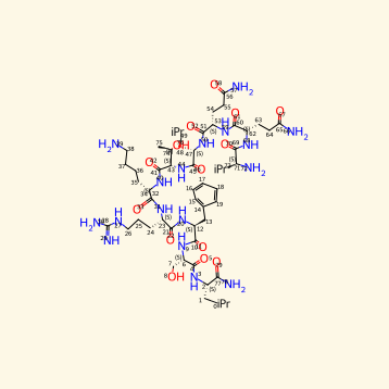 CC(C)C[C@H](NC(=O)[C@H](CO)NC(=O)[C@H](Cc1ccccc1)NC(=O)[C@H](CCCNC(=N)N)NC(=O)[C@H](CCCCN)NC(=O)[C@@H](NC(=O)[C@H](CC(C)C)NC(=O)[C@H](CCC(N)=O)NC(=O)[C@H](CCC(N)=O)NC(=O)[C@@H](N)C(C)C)[C@@H](C)O)C(N)=O